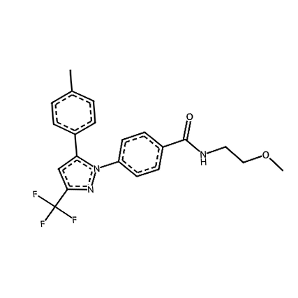 COCCNC(=O)c1ccc(-n2nc(C(F)(F)F)cc2-c2ccc(C)cc2)cc1